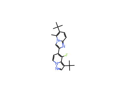 Cc1c(C(C)(C)C)ccc2nc(-c3ccn4ncc(C(C)(C)C)c4c3F)cn12